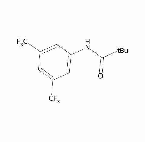 CC(C)(C)C(=O)Nc1cc(C(F)(F)F)cc(C(F)(F)F)c1